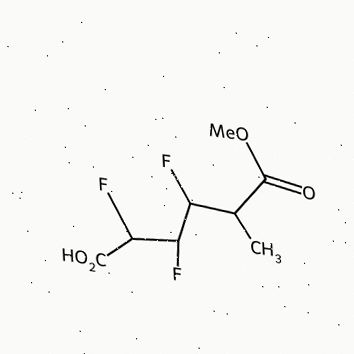 COC(=O)C(C)C(F)C(F)C(F)C(=O)O